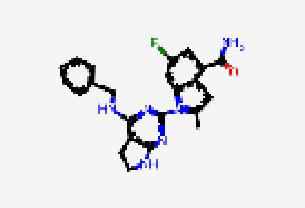 Cc1cc2c(C(N)=O)cc(F)cc2n1-c1nc2c(c(NCc3ccccc3)n1)CCN2